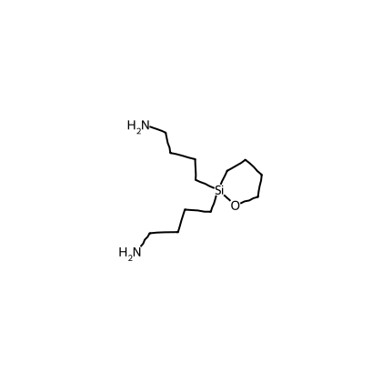 NCCCC[Si]1(CCCCN)CCCCO1